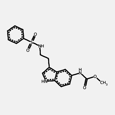 COC(=O)Nc1ccc2[nH]cc(CCNS(=O)(=O)c3ccccc3)c2c1